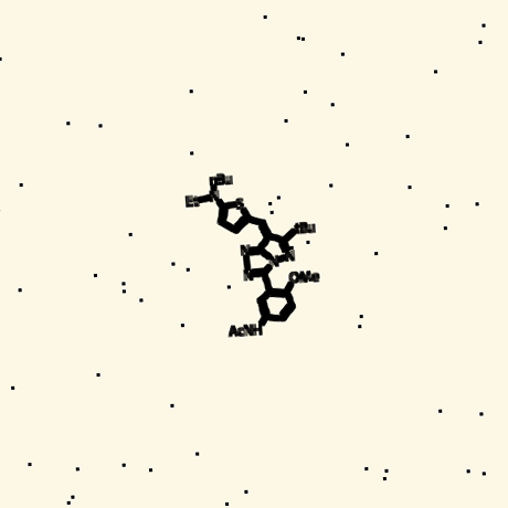 CCCCN(CC)c1ccc(/C=c2/c(C(C)(C)C)nn3c(-c4cc(NC(C)=O)ccc4OC)nnc23)s1